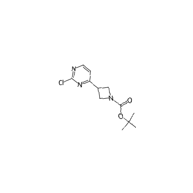 CC(C)(C)OC(=O)N1CC(c2ccnc(Cl)n2)C1